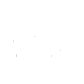 FCC(F)(F)C(F)(F)OC(F)(C(F)(F)F)C(F)(F)OC(F)(C(F)(F)F)C(F)(F)OC(C(F)(F)F)C(F)(F)F